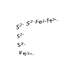 [Fe+2].[Fe+3].[Fe+3].[S-2].[S-2].[S-2].[S-2]